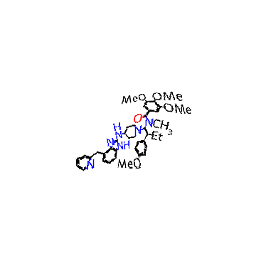 CCC(c1ccc(OC)cc1)C(N1CCC(Nc2nc3c(Cc4ccccn4)cccc3[nH]2)CC1)N(C)C(=O)c1cc(OC)c(OC)c(OC)c1